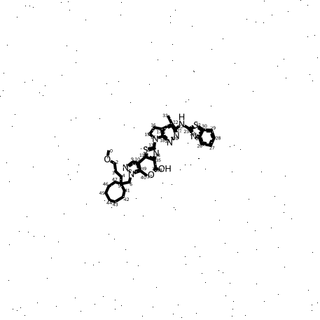 COCCCC1(Cn2ncc(-c3sc(N4CCc5c4nnc(Nc4nc6ccccc6s4)c5C)nc3C(=O)O)c2C)CCCCCCC1